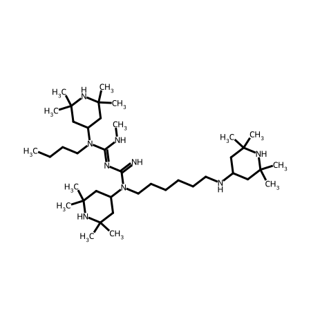 CCCCN(/C(=N/C(=N)N(CCCCCCNC1CC(C)(C)NC(C)(C)C1)C1CC(C)(C)NC(C)(C)C1)NC)C1CC(C)(C)NC(C)(C)C1